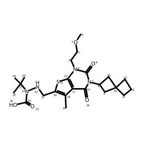 COCCn1c(=O)n(C2CC3(CCC3)C2)c(=O)c2c(C)c(CNN(C(=O)O)C(C)(C)C)sc21